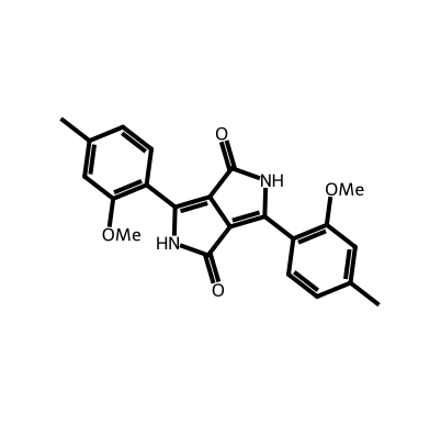 COc1cc(C)ccc1C1=C2C(=O)NC(c3ccc(C)cc3OC)=C2C(=O)N1